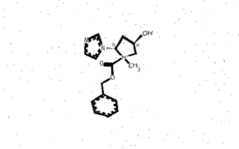 C[N+]1(C(=O)OCc2ccccc2)C[C@H](O)C[C@H]1n1ccnc1